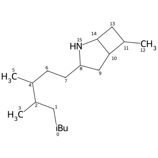 CCC(C)CC(C)C(C)CCC1CC2C(C)CC2N1